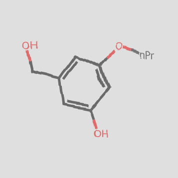 CCCOc1cc(O)cc(CO)c1